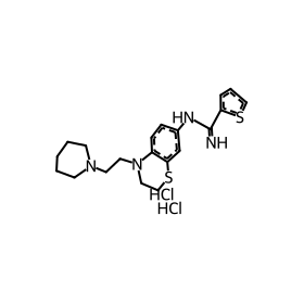 Cl.Cl.N=C(Nc1ccc2c(c1)SCCN2CCN1CCCCC1)c1cccs1